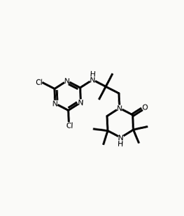 CC(C)(CN1CC(C)(C)NC(C)(C)C1=O)Nc1nc(Cl)nc(Cl)n1